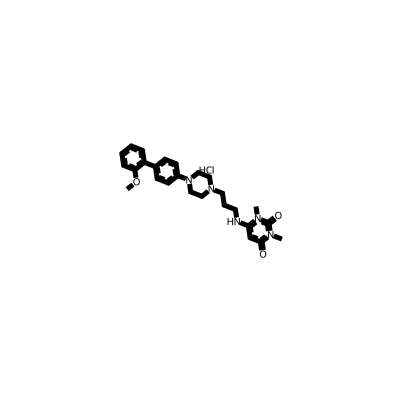 COc1ccccc1-c1ccc(N2CCN(CCCNc3cc(=O)n(C)c(=O)n3C)CC2)cc1.Cl